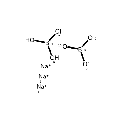 OB(O)O.[Na+].[Na+].[Na+].[O-]B([O-])[O-]